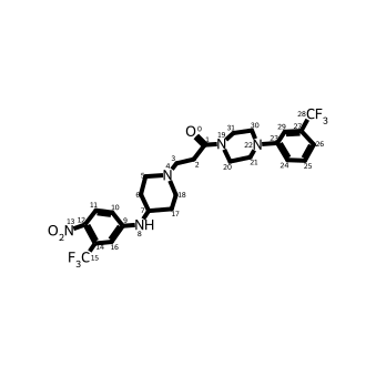 O=C(CCN1CCC(Nc2ccc([N+](=O)[O-])c(C(F)(F)F)c2)CC1)N1CCN(c2cccc(C(F)(F)F)c2)CC1